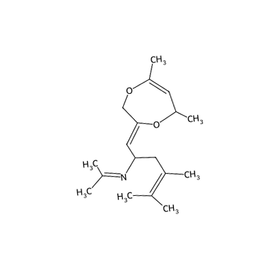 CC1=CC(C)O/C(=C\C(CC(C)=C(C)C)N=C(C)C)CO1